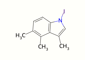 Cc1ccc2c(c(C)cn2I)c1C